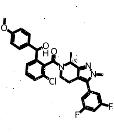 COc1ccc(C(O)c2cccc(Cl)c2C(=O)N2CCc3c(nn(C)c3-c3cc(F)cc(F)c3)[C@@H]2C)cc1